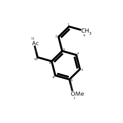 C/C=C\c1ccc(OC)cc1CC(C)=O